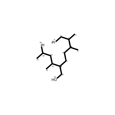 CC(C)CC(C)C(C)CCC(CO)C(C)CC(C)C(C)C